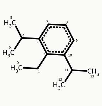 CCc1c([C](C)C)cccc1C(C)C